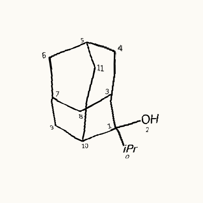 CC(C)C1(O)C2CC3CC(C2)CC1C3